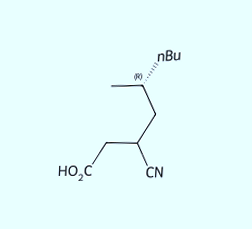 CCCC[C@@H](C)CC(C#N)CC(=O)O